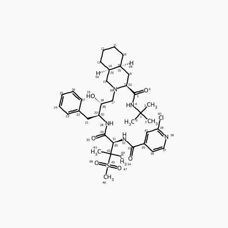 CC(C)(C)NC(=O)[C@@H]1C[C@@H]2CCCC[C@@H]2CN1C[C@@H](O)[C@H](Cc1ccccc1)NC(=O)[C@@H](NC(=O)c1ccnc(Cl)c1)C(C)(C)S(C)(=O)=O